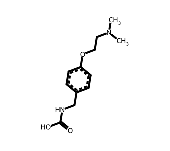 CN(C)CCOc1ccc(CNC(=O)O)cc1